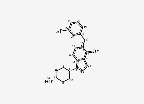 O=c1c2nnc([C@H]3CC[C@@H](O)CC3)n2ccn1Cc1cccc(F)c1